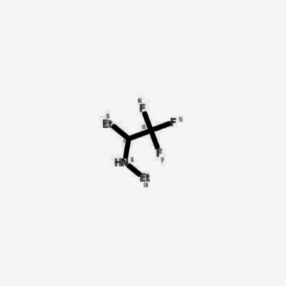 CCNC(CC)C(F)(F)F